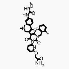 CONC(=O)Nc1ccc(-c2sc3c(c2CN(C)C)c(=O)n(-c2cccc(OCC(N)=O)n2)c(=O)n3Cc2c(F)cccc2F)cc1